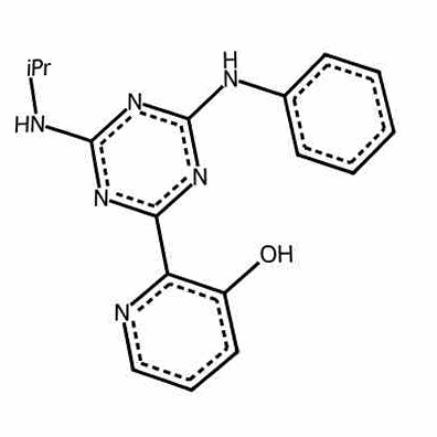 CC(C)Nc1nc(Nc2ccccc2)nc(-c2ncccc2O)n1